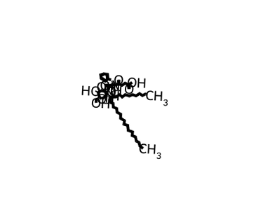 CCCCCCCCCCCCCCCCCCN(C(=O)CCCCCCCCCCC)[C@@H]1O[C@H](CO)[C@@H](O)[C@H](O)[C@H]1NC(=O)[C@H](Cc1ccccc1)NC(=O)CCC(=O)O